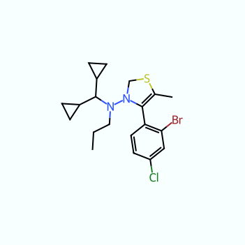 CCCN(C(C1CC1)C1CC1)N1CSC(C)=C1c1ccc(Cl)cc1Br